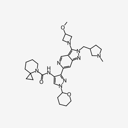 COC1CN(c2c3cnc(-c4nn(C5CCCCO5)cc4NC(=O)N4CCCCC45CC5)cc3nn2CC2CCN(C)C2)C1